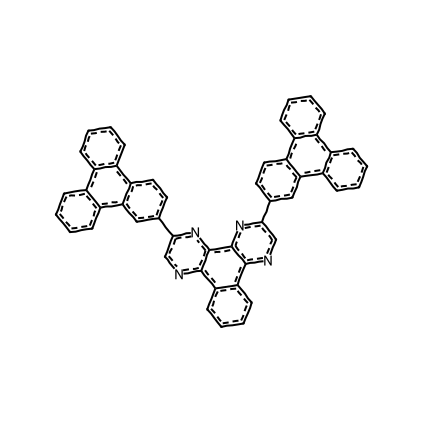 c1ccc2c(c1)c1ccccc1c1cc(-c3cnc4c5ccccc5c5ncc(-c6ccc7c8ccccc8c8ccccc8c7c6)nc5c4n3)ccc21